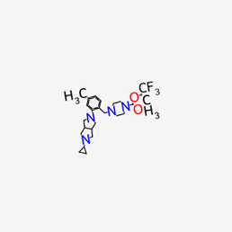 Cc1ccc(CN2CCN(C(=O)OC(C)C(F)(F)F)CC2)c(N2CC3CN(C4CC4)CC3C2)c1